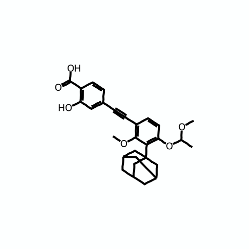 COc1c(C#Cc2ccc(C(=O)O)c(O)c2)ccc(OC(C)OC)c1C12CC3CC(CC(C3)C1)C2